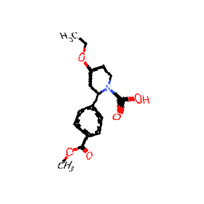 CCOC1CCN(C(=O)O)C(c2ccc(C(=O)OC)cc2)C1